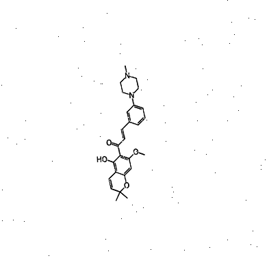 COc1cc2c(c(O)c1C(=O)/C=C/c1cccc(N3CCN(C)CC3)c1)C=CC(C)(C)O2